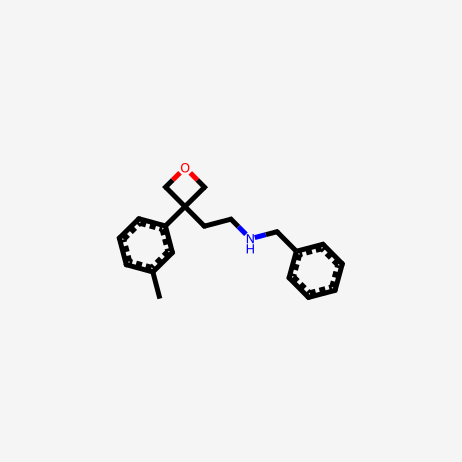 Cc1cccc(C2(CCNCc3ccccc3)COC2)c1